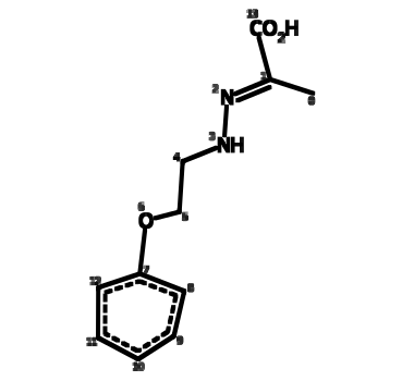 CC(=NNCCOc1ccccc1)C(=O)O